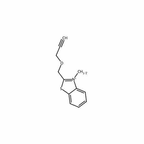 C#CCOCc1sc2ccccc2[n+]1C.[I-]